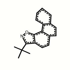 CC(C)(C)c1noc2c1ccc1ccc3ccccc3c12